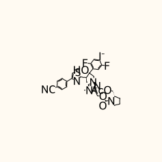 CC(=O)OC[C@@H]1CCCN1C(=O)OCC1=NN(C[C@](O)(c2cc(F)ccc2F)[C@@H](C)c2nc(-c3ccc(C#N)cc3)cs2)C=[N+]1.[I-]